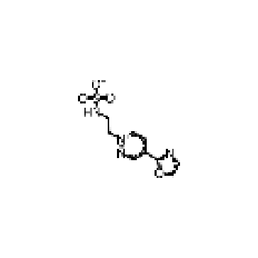 O=S(=O)([O-])NCC[n+]1ccc(-c2ncco2)cn1